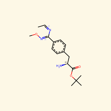 C/C=N\C(=N/OC)c1ccc(C[C@H](N)C(=O)OC(C)(C)C)cc1